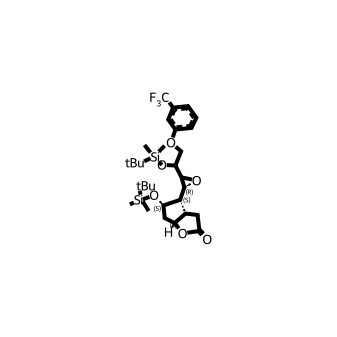 CC(C)(C)[Si](C)(C)OC(COc1cccc(C(F)(F)F)c1)C1O[C@@H]1[C@@H]1C2CC(=O)O[C@H]2C[C@@H]1O[Si](C)(C)C(C)(C)C